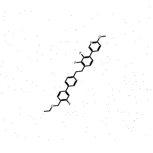 CCOCc1ccc(-c2ccc(CCc3ccc(-c4ccc(OC)nc4)c(F)c3F)cc2)cc1F